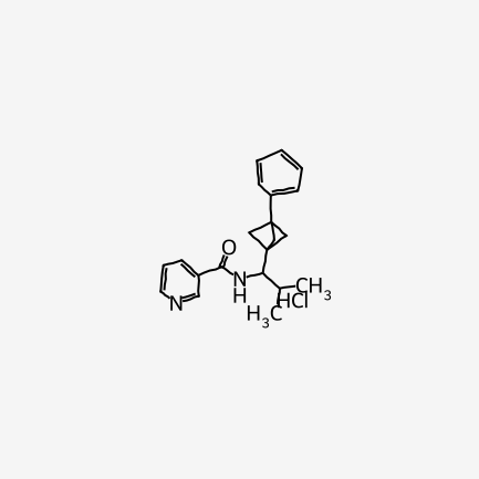 CC(C)C(NC(=O)c1cccnc1)C12CC(c3ccccc3)(C1)C2.Cl